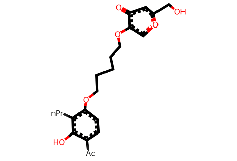 CCCc1c(OCCCCCOc2coc(CO)cc2=O)ccc(C(C)=O)c1O